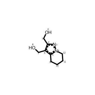 OCc1nn2c(c1CO)CCCC2